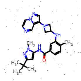 Cc1ccc(C(=O)Nc2cc(C(C)(C)C)nn2C)cc1NC1CN(c2cnn3ccncc23)C1